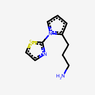 NCCCc1cccn1-c1nccs1